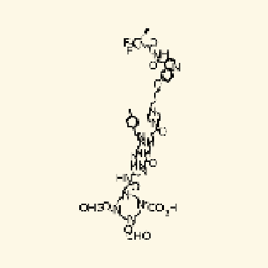 C#C[C@H]1CC(F)(F)CN1C(=O)CNC(=O)c1ccnc2ccc(OCCCCN3CCN(C(=O)CCCCCC(=O)N/N=C\C(C/C=N/NCN/N=C/c4ccc(C)cc4)NC(=O)CN4CCN(COC=O)CCN(COC=O)CCN(CC(=O)O)CC4)CC3)cc12